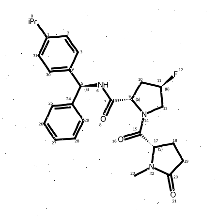 CC(C)c1ccc([C@@H](NC(=O)[C@@H]2C[C@@H](F)CN2C(=O)[C@@H]2CCC(=O)N2C)c2ccccc2)cc1